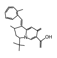 C=C(O)C1=CN2C(=CC1=C)/C(=C/C1=C(C)C=C=CC=C1)C(C)CC2C(C)(C)C